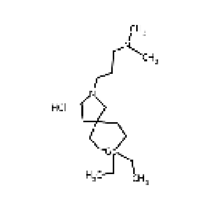 C[CH2][Ge]1([CH2]C)[CH2]CC2(CCN(CCCN(C)C)C2)C[CH2]1.Cl